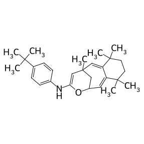 CC12C=C(Nc3ccc(C(C)(C)C)cc3)OC(C=C3C(=C1)C(C)(C)CCC3(C)C)C2